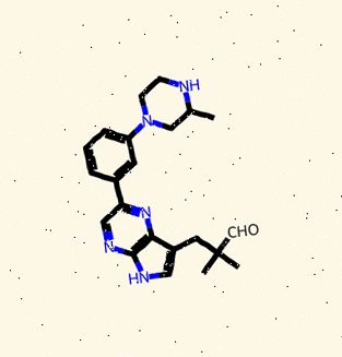 CC1CN(c2cccc(-c3cnc4[nH]cc(CC(C)(C)C=O)c4n3)c2)CCN1